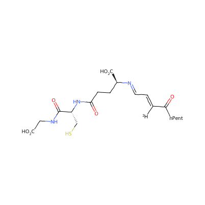 [2H]/C(=C\C=N\[C@@H](CCC(=O)N[C@H](CS)C(=O)NCC(=O)O)C(=O)O)C(=O)CCCCC